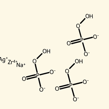 O=P([O-])([O-])OO.O=P([O-])([O-])OO.O=P([O-])([O-])OO.[Ag+].[Na+].[Zr+4]